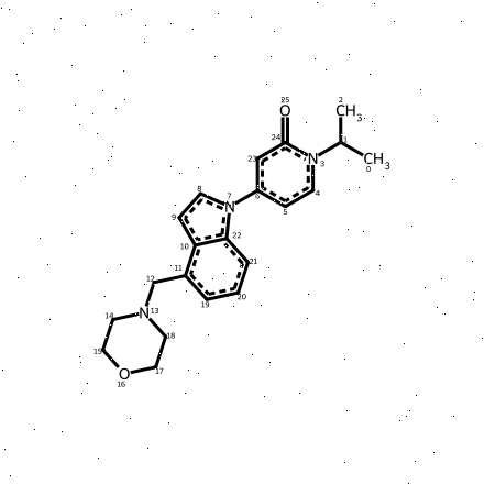 CC(C)n1ccc(-n2ccc3c(CN4CCOCC4)cccc32)cc1=O